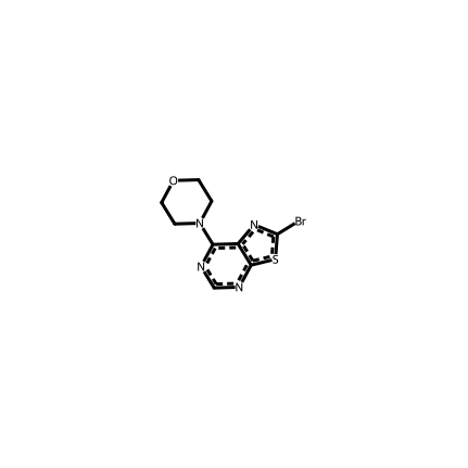 Brc1nc2c(N3CCOCC3)ncnc2s1